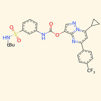 CC(C)(C)NS(=O)(=O)c1cccc(NC(=O)Oc2cnn3c(C4CC4)cc(-c4ccc(C(F)(F)F)cc4)nc23)c1